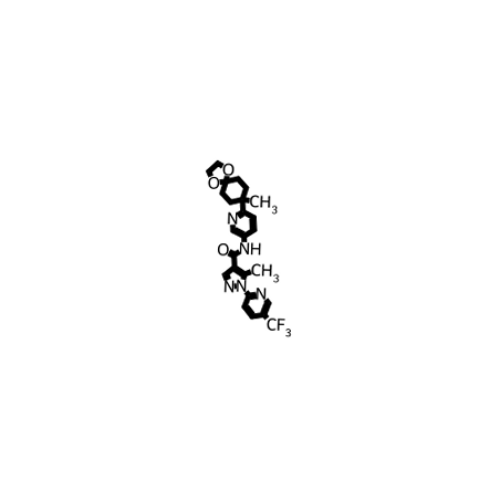 Cc1c(C(=O)Nc2ccc(C3(C)CCC4(CC3)OCCO4)nc2)cnn1-c1ccc(C(F)(F)F)cn1